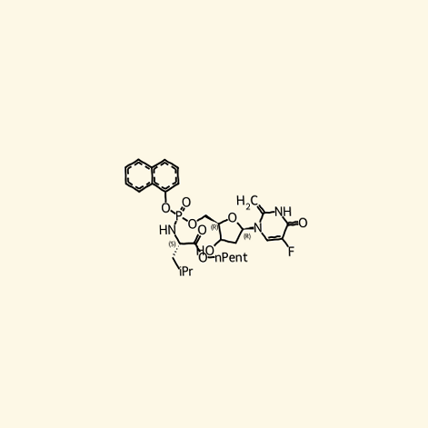 C=C1NC(=O)C(F)=CN1[C@H]1CC(O)[C@@H](COP(=O)(N[C@@H](CC(C)C)C(=O)OCCCCC)Oc2cccc3ccccc23)O1